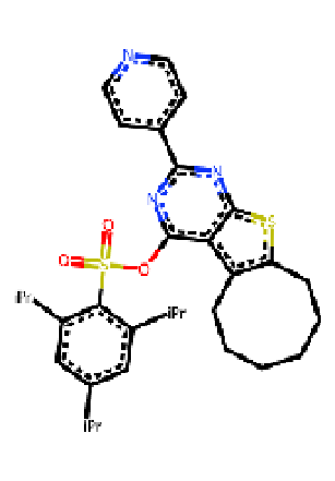 CC(C)c1cc(C(C)C)c(S(=O)(=O)Oc2nc(-c3ccncc3)nc3sc4c(c23)CCCCCC4)c(C(C)C)c1